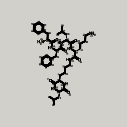 CC(C)C[C@@H]1NC(=O)[C@@H](CCCCNC(=O)[C@@H](CCCCN)NC(=O)[C@@H](CC(C)C)NC(=O)[C@@H](Cc2ccccc2)NC(=O)[C@H](N)Cc2ccccc2)NC1=O